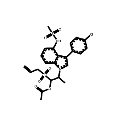 C=CCS(=O)(=O)C(OC(C)=O)C(C)n1cc(-c2ccc(Cl)cc2)c2c(NS(C)(=O)=O)cccc21